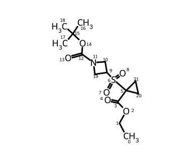 CCOC(=O)C1(S(=O)(=O)C2CN(C(=O)OC(C)(C)C)C2)CC1